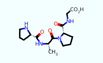 C[C@H](NC(=O)[C@@H]1CCCN1)C(=O)N1CCC[C@H]1C(=O)NCC(=O)O